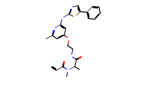 C=CC(=O)N(C)C(C)C(=O)NCCOc1cc(C)nc(Nc2ncc(-c3ccccc3)s2)c1